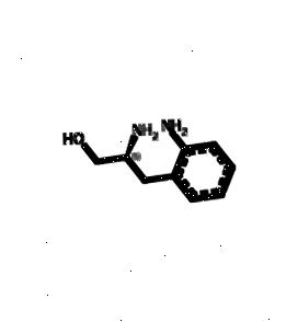 Nc1ccccc1C[C@H](N)CO